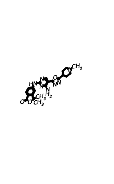 CN1CCC(c2nnc(-c3cnc(Nc4ccc5c(c4)C(C)(C)OC5=O)nc3N)o2)CC1